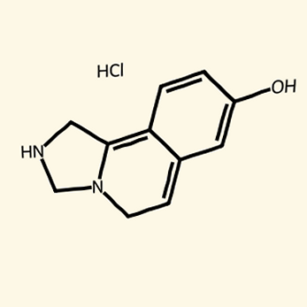 Cl.Oc1ccc2c(c1)=CCN1CNCC=21